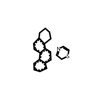 C1=CSCC=N1.c1ccc2c(c1)ccc1c3c(ccc12)CCCC3